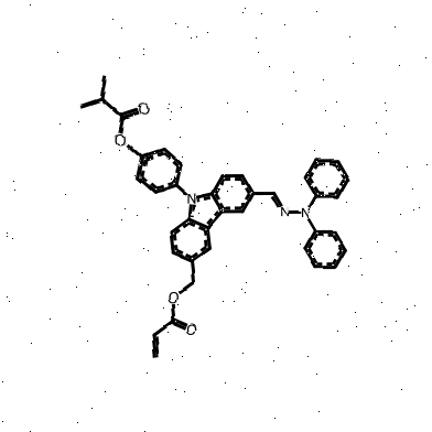 C=CC(=O)OCc1ccc2c(c1)c1cc(C=NN(c3ccccc3)c3ccccc3)ccc1n2-c1ccc(OC(=O)C(C)C)cc1